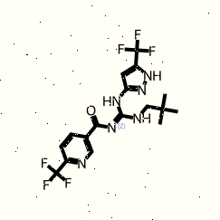 CC(C)(C)CN/C(=N/C(=O)c1ccc(C(F)(F)F)nc1)Nc1cc(C(F)(F)F)[nH]n1